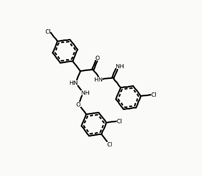 N=C(NC(=O)C(NNOc1ccc(Cl)c(Cl)c1)c1ccc(Cl)cc1)c1cccc(Cl)c1